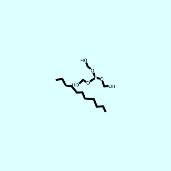 CCCCCCCCCCC.OCOP(OCO)OCO